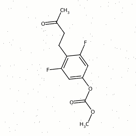 COC(=O)Oc1cc(F)c(CCC(C)=O)c(F)c1